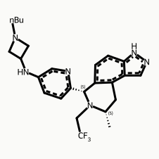 CCCCN1CC(Nc2ccc([C@@H]3c4ccc5[nH]ncc5c4C[C@H](C)N3CC(F)(F)F)nc2)C1